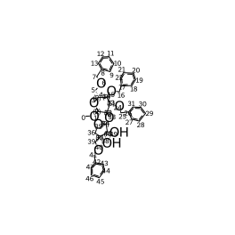 CO[C@@H]1O[C@H](COCc2ccccc2)[C@@H](OCc2ccccc2)[C@H](OCc2ccccc2)[C@H]1O[C@H]1OC[C@](O)(COCc2ccccc2)[C@H]1O